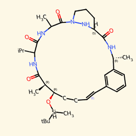 CC1NC(=O)C(C(C)C)NC(=O)[C@H](C)[C@H](O[SiH](C)C(C)(C)C)CC/C=C/c2cccc(c2)[C@@H](C)NC(=O)[C@@H]2CCCN(N2)C1=O